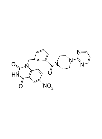 O=C(c1cccc(Cn2c(=O)[nH]c(=O)c3cc([N+](=O)[O-])ccc32)c1)N1CCN(c2ncccn2)CC1